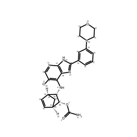 NC(=O)O[C@H]1[C@@H](Nc2c(Cl)cnc3[nH]c(-c4cccc(N5CCOCC5)c4)nc23)[C@@H]2C=C[C@H]1C2